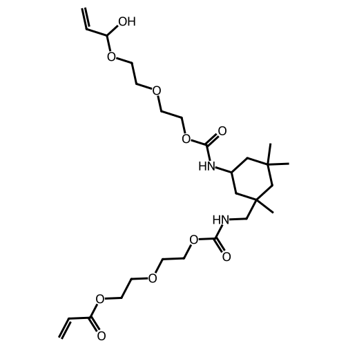 C=CC(=O)OCCOCCOC(=O)NCC1(C)CC(NC(=O)OCCOCCOC(O)C=C)CC(C)(C)C1